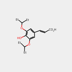 CCC(CC)Oc1cc(C=CC(=O)O)cc(OC(CC)CC)c1O